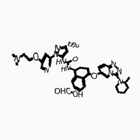 CC1CCCCN1c1nnc2ccc(OC3CCC(NC(=O)Nc4cc(C(C)(C)C)nn4-c4cncc(OCCN(C)C)c4)c4ccccc43)cn12.O=CO